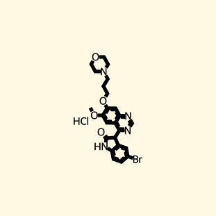 COc1cc2c(C3C(=O)Nc4ccc(Br)cc43)ncnc2cc1OCCCN1CCOCC1.Cl